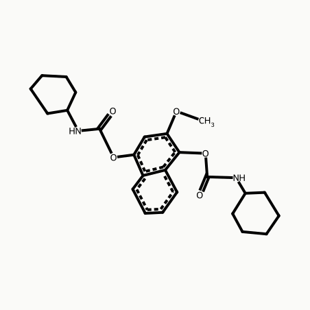 COc1cc(OC(=O)NC2CCCCC2)c2ccccc2c1OC(=O)NC1CCCCC1